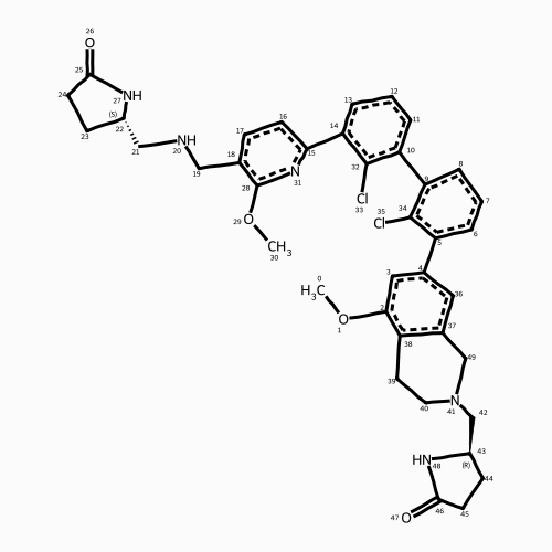 COc1cc(-c2cccc(-c3cccc(-c4ccc(CNC[C@@H]5CCC(=O)N5)c(OC)n4)c3Cl)c2Cl)cc2c1CCN(C[C@H]1CCC(=O)N1)C2